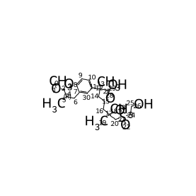 COC(=O)[C@H](C)Cc1cccc(C(C)(CCCC(C)(C)CS(=O)(=O)CCO)C(=O)O)c1